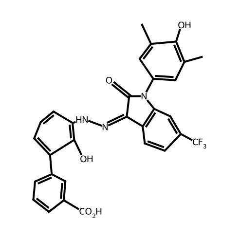 Cc1cc(N2C(=O)C(=NNc3cccc(-c4cccc(C(=O)O)c4)c3O)c3ccc(C(F)(F)F)cc32)cc(C)c1O